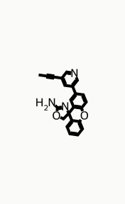 CC#Cc1cncc(-c2ccc3c(c2)C2(COC(N)=N2)c2ccccc2O3)c1